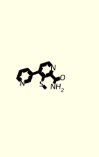 CSc1c(-c2cccnc2)ccnc1C(N)=O